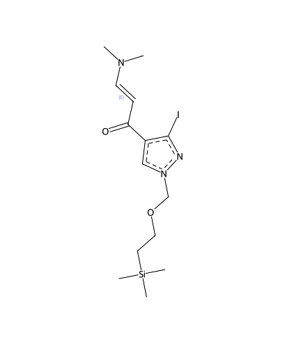 CN(C)/C=C/C(=O)c1cn(COCC[Si](C)(C)C)nc1I